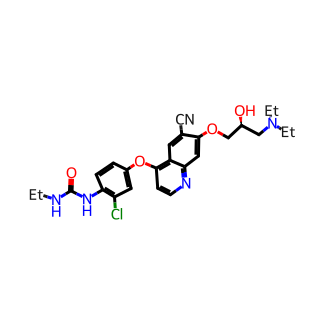 CCNC(=O)Nc1ccc(Oc2ccnc3cc(OC[C@@H](O)CN(CC)CC)c(C#N)cc23)cc1Cl